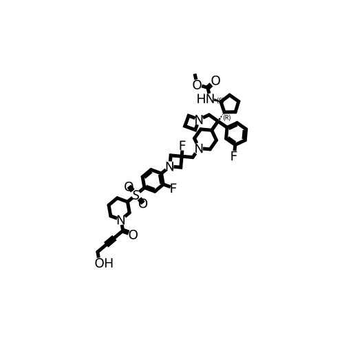 COC(=O)N[C@H]1CCC[C@@H]1C(CN1CCC1)(c1cccc(F)c1)C1CCN(CC2(F)CN(c3ccc(S(=O)(=O)C4CCCN(C(=O)C#CCO)C4)cc3F)C2)CC1